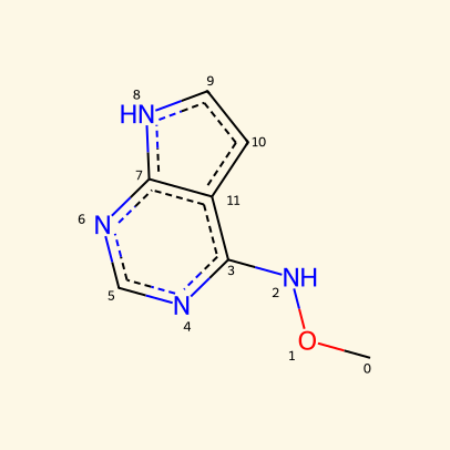 CONc1ncnc2[nH]ccc12